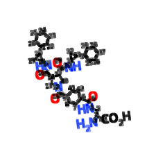 N[C@@H](CNC(=O)c1ccc(C(=O)N2C[C@@H](C(=O)N[C@H]3C[C@@H]3c3ccccc3)[C@H](C(=O)N[C@H]3C[C@@H]3c3ccccc3)C2)cc1)C(=O)O